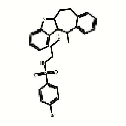 CC1c2ccccc2CCC2Nc3ccccc3[C@@]21CCCNS(=O)(=O)c1ccc(Br)cc1